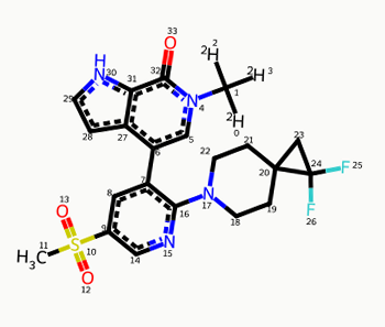 [2H]C([2H])([2H])n1cc(-c2cc(S(C)(=O)=O)cnc2N2CCC3(CC2)CC3(F)F)c2cc[nH]c2c1=O